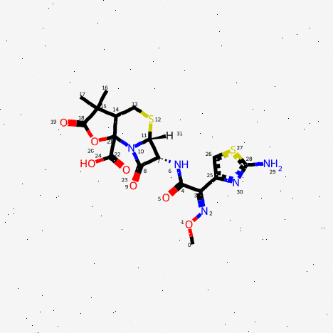 CO/N=C(\C(=O)N[C@@H]1C(=O)N2[C@@H]1SCC1C(C)(C)C(=O)OC12C(=O)O)c1csc(N)n1